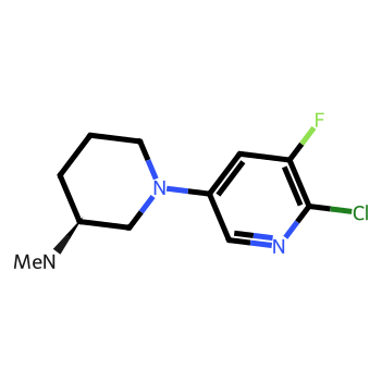 CN[C@H]1CCCN(c2cnc(Cl)c(F)c2)C1